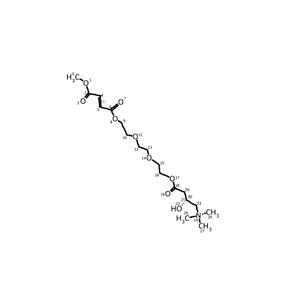 COC(=O)/C=C/C(=O)OCCOCCOCCOC(=O)C[C@@H](O)C[N+](C)(C)C